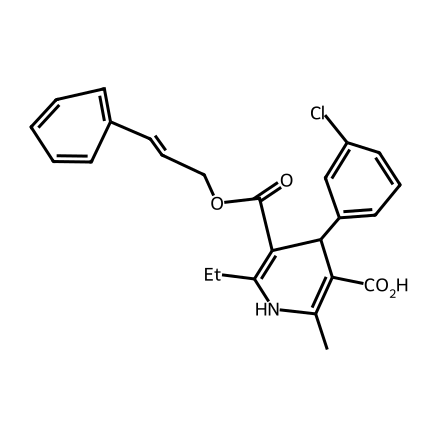 CCC1=C(C(=O)OC/C=C/c2ccccc2)C(c2cccc(Cl)c2)C(C(=O)O)=C(C)N1